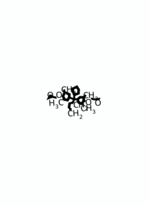 C=C/C=C\C(=C)C(c1ccccc1)(c1cc(C)c(OCC2CO2)c(C)c1)c1cc(C)c(OCC2CO2)c(C)c1